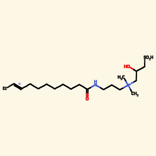 CC/C=C/CCCCCCCC(=O)NCCC[N+](C)(C)CC(O)CS(=O)(=O)O